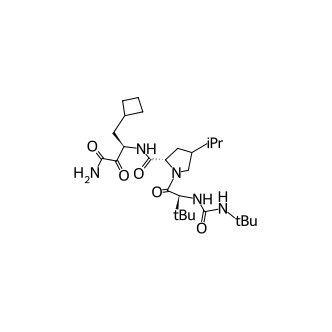 CC(C)C1C[C@@H](C(=O)N[C@H](CC2CCC2)C(=O)C(N)=O)N(C(=O)[C@@H](NC(=O)NC(C)(C)C)C(C)(C)C)C1